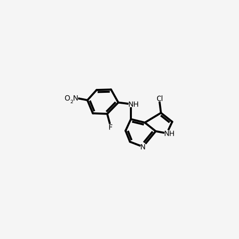 O=[N+]([O-])c1ccc(Nc2ccnc3[nH]cc(Cl)c23)c(F)c1